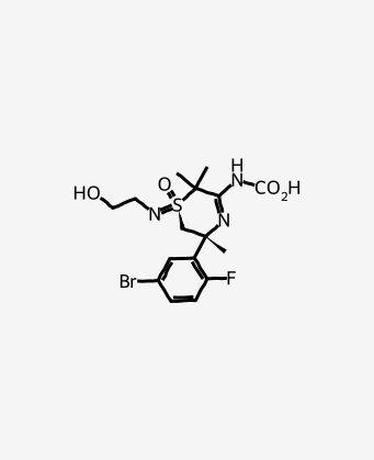 CC1(C)C(NC(=O)O)=N[C@](C)(c2cc(Br)ccc2F)C[S@]1(=O)=NCCO